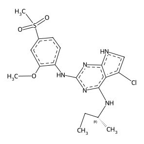 CC[C@@H](C)Nc1nc(Nc2ccc(S(C)(=O)=O)cc2OC)nc2[nH]cc(Cl)c12